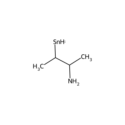 CC(N)[CH](C)[SnH]